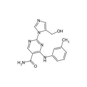 Cc1cccc(Nc2nc(-n3cncc3CO)ncc2C(N)=O)c1